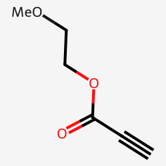 C#CC(=O)OCCOC